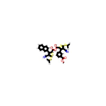 COC(=O)c1cccc(-c2c(C(=O)OC(=O)c3sc(SC(C)C)c(C#N)c3-c3ccc4ccccc4c3)sc(SC(C)C)c2C#N)c1